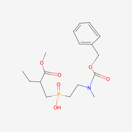 CCC(CP(=O)(O)CCN(C)C(=O)OCc1ccccc1)C(=O)OC